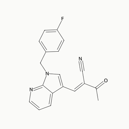 CC(=O)/C(C#N)=C/c1cn(Cc2ccc(F)cc2)c2ncccc12